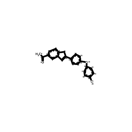 CC(=O)c1ccc2c(c1)C=C(c1ccc(Oc3ccc(Cl)cc3)cc1)C2